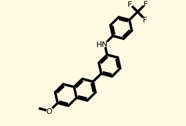 COc1ccc2cc(-c3cccc(Nc4ccc(C(F)(F)F)cc4)c3)ccc2c1